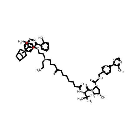 Cc1ncsc1-c1ccc(CNC(=O)[C@@H]2C[C@@H](O)CN2C(=O)[C@H](NC(=O)CCCCCCC(=O)CCCN(CCN)CCOc2cccc(N3C4CCC3CN(c3cc(-c5ccccc5O)nnc3N)C4)c2)C(C)(C)C)cc1